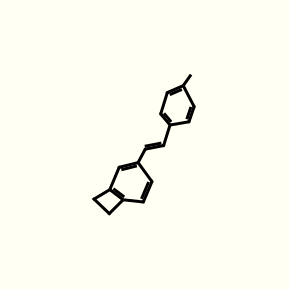 Cc1ccc(/C=C/c2ccc3c(c2)CC3)cc1